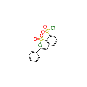 O=S(=O)(Cl)c1cccc(C=Cc2ccccc2)c1S(=O)(=O)Cl